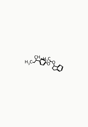 CCC(C)c1ccc(OC(C)OC2CCc3ccccc32)cc1